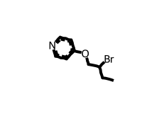 CCC(Br)COc1ccncc1